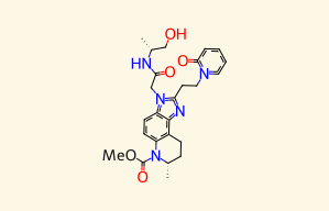 COC(=O)N1c2ccc3c(nc(CCn4ccccc4=O)n3CC(=O)N[C@H](C)CO)c2CC[C@@H]1C